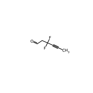 CC#CC(F)(F)CC=O